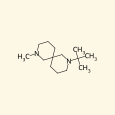 CN1CCCC2(CCCN(C(C)(C)C)C2)C1